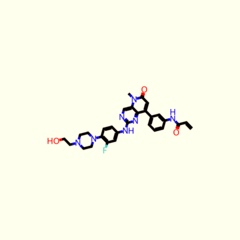 C=CC(=O)Nc1cccc(-c2cc(=O)n(C)c3cnc(Nc4ccc(N5CCN(CCO)CC5)c(F)c4)nc23)c1